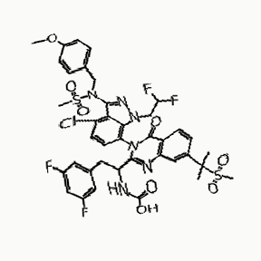 COc1ccc(CN(c2nn(CC(F)F)c3c(-n4c(C(Cc5cc(F)cc(F)c5)NC(=O)O)nc5cc(C(C)(C)S(C)(=O)=O)ccc5c4=O)ccc(Cl)c23)S(C)(=O)=O)cc1